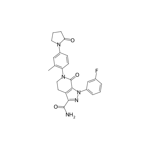 Cc1cc(N2CCCC2=O)ccc1N1CCc2c(C(N)=O)nn(-c3cccc(F)c3)c2C1=O